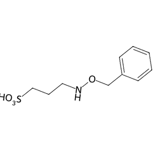 O=S(=O)(O)CCCNOCc1ccccc1